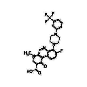 Cn1cc(C(=O)O)c(=O)c2c3ccc(F)c(N4CCN(c5cccc(C(F)(F)F)c5)CC4)c3ncc21